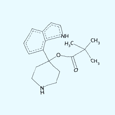 CC(C)(C)C(=O)OC1(c2cccc3cc[nH]c23)CCNCC1